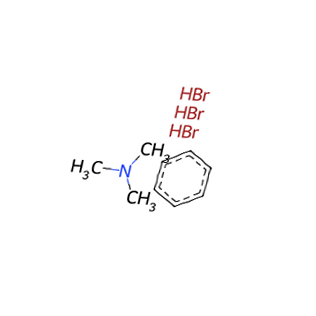 Br.Br.Br.CN(C)C.c1ccccc1